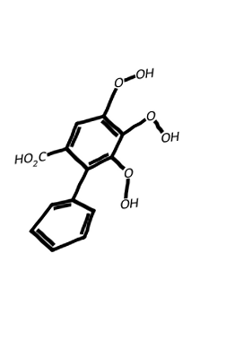 O=C(O)c1cc(OO)c(OO)c(OO)c1-c1ccccc1